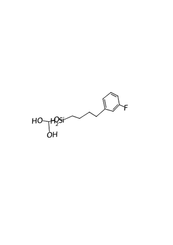 OC(O)O[SiH2]CCCCc1cccc(F)c1